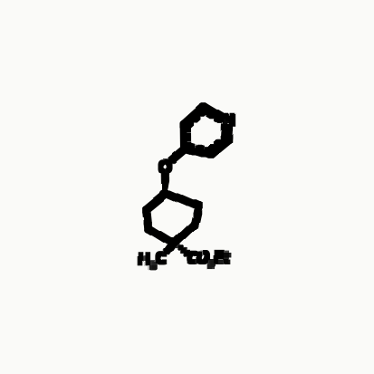 CCOC(=O)[C@]1(C)CC[C@@H](Oc2ccncc2)CC1